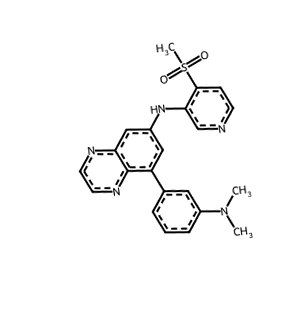 CN(C)c1cccc(-c2cc(Nc3cnccc3S(C)(=O)=O)cc3nccnc23)c1